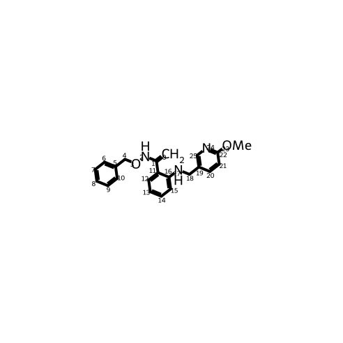 C=C(NOCc1ccccc1)c1ccccc1NCc1ccc(OC)nc1